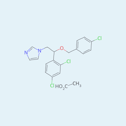 CC(=O)O.Clc1ccc(COC(Cn2ccnc2)c2ccc(Cl)cc2Cl)cc1